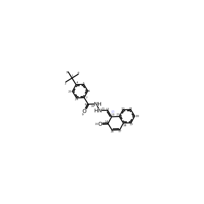 CC(C)(C)c1ccc(C(=O)NN/C=C2\C(=O)C=Cc3ccccc32)cc1